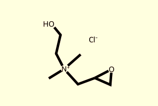 C[N+](C)(CCO)CC1CO1.[Cl-]